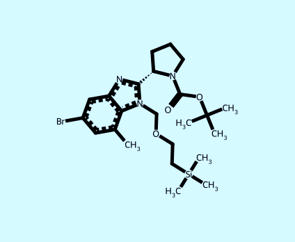 Cc1cc(Br)cc2nc([C@@H]3CCCN3C(=O)OC(C)(C)C)n(COCC[Si](C)(C)C)c12